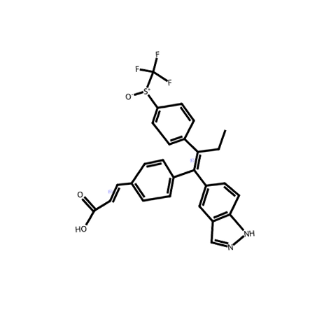 CC/C(=C(/c1ccc(/C=C/C(=O)O)cc1)c1ccc2[nH]ncc2c1)c1ccc([S+]([O-])C(F)(F)F)cc1